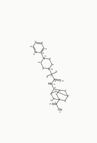 CC1C2CC3CC(CC1(C(=O)O)C3)C2NC(=O)C(C)(C)N1CCN(c2ccccn2)CC1